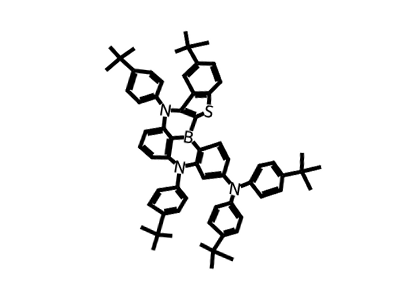 CC(C)(C)c1ccc(N(c2ccc(C(C)(C)C)cc2)c2ccc3c(c2)N(c2ccc(C(C)(C)C)cc2)c2cccc4c2B3c2sc3ccc(C(C)(C)C)cc3c2N4c2ccc(C(C)(C)C)cc2)cc1